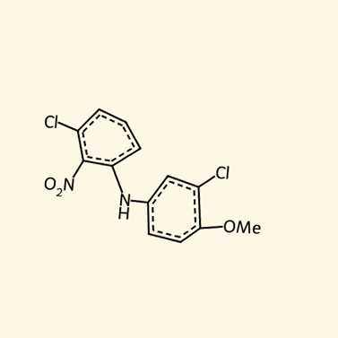 COc1ccc(Nc2cccc(Cl)c2[N+](=O)[O-])cc1Cl